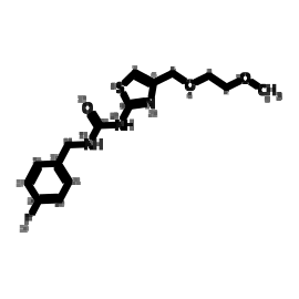 COCCOCc1csc(NC(=O)NCc2ccc(F)cc2)n1